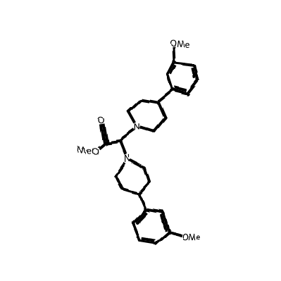 COC(=O)C(N1CCC(c2cccc(OC)c2)CC1)N1CCC(c2cccc(OC)c2)CC1